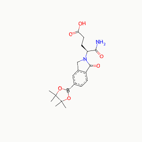 CC1(C)OB(c2ccc3c(c2)CN([C@@H](CCC(=O)O)C(N)=O)C3=O)OC1(C)C